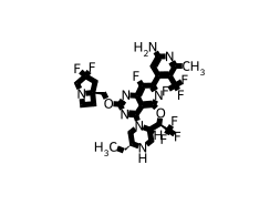 CC[C@@H]1CN2c3nc(OC[C@@]45CCN4CC(F)(F)C5)nc4c(F)c(-c5cc(N)nc(C)c5C(F)(F)F)nc(c34)O[C@@H](C(F)(F)F)[C@@H]2CN1